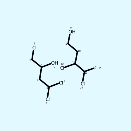 OC(CCl)CC(Cl)Cl.OCCC(Cl)C(Cl)Cl